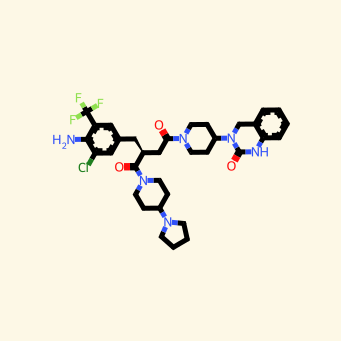 Nc1c(Cl)cc(C[C@@H](CC(=O)N2CCC(N3Cc4ccccc4NC3=O)CC2)C(=O)N2CCC(N3CCCC3)CC2)cc1C(F)(F)F